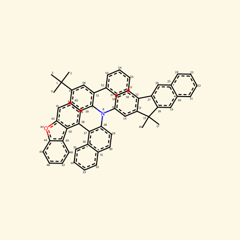 CC(C)(C)c1ccc(N(c2ccc3c(c2)C(C)(C)c2cc4ccccc4cc2-3)c2ccc3ccccc3c2-c2cccc3oc4ccccc4c23)c(-c2ccccc2)c1